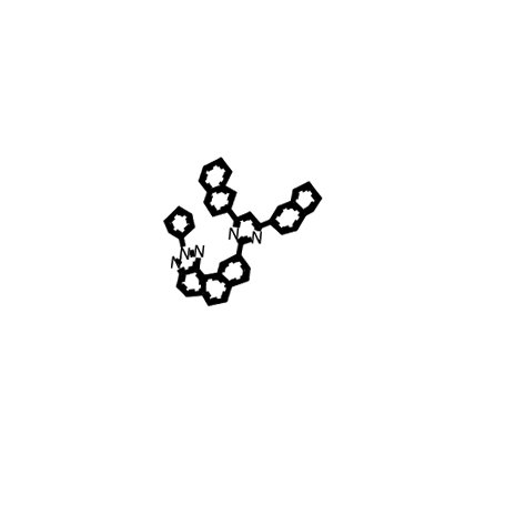 c1ccc(-n2nc3ccc4ccc5ccc(-c6nc(-c7ccc8ccccc8c7)cc(-c7ccc8ccccc8c7)n6)cc5c4c3n2)cc1